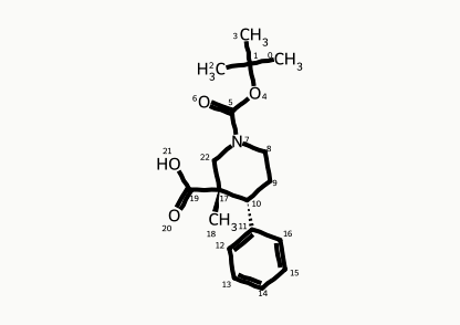 CC(C)(C)OC(=O)N1CC[C@H](c2ccccc2)[C@](C)(C(=O)O)C1